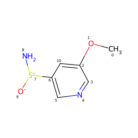 COc1cncc([S+](N)[O-])c1